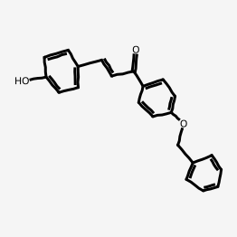 O=C(/C=C/c1ccc(O)cc1)c1ccc(OCc2ccccc2)cc1